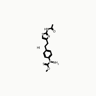 COC(=S)N(N)c1ccc(CCc2csc(NC(C)=O)n2)cc1.I